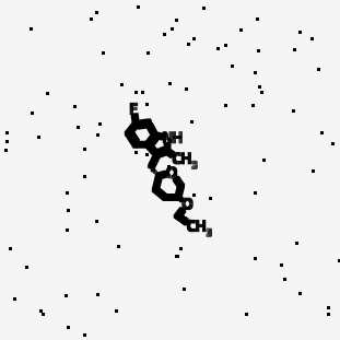 CCO[C@H]1CC[C@H](Cc2c(C)[nH]c3cc(F)ccc23)OC1